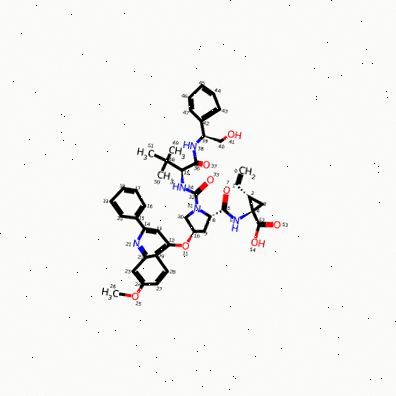 C=C[C@@H]1C[C@]1(NC(=O)[C@@H]1C[C@@H](Oc2cc(-c3ccccc3)nc3cc(OC)ccc23)CN1C(=O)N[C@H](C(=O)N[C@H](CO)c1ccccc1)C(C)(C)C)C(=O)O